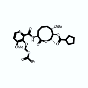 COc1ccnc(C(=O)N[C@H]2CCC[C@H](OCC(C)C)[C@@H](OC(=O)C3CCCC3)[C@H](C)OC2=O)c1OCOC(=O)C(C)C